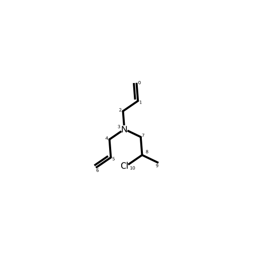 C=CCN(CC=C)CC(C)Cl